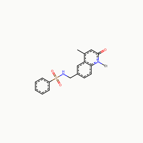 CCn1c(=O)cc(C)c2cc(CNS(=O)(=O)c3ccccc3)ccc21